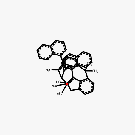 CCC[CH2][Zr]1([CH2]CCC)[CH]2C(C)=C(c3cccc4ccccc34)c3c2cccc3C(C)(C)c2cccc3c2C(c2cccc4ccccc24)=C(C)[CH]31